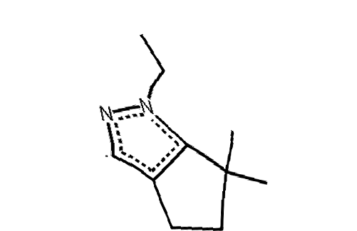 CCn1n[c]c2c1C(C)(C)CC2